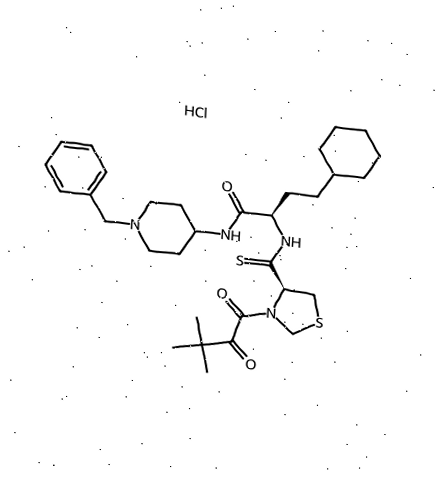 CC(C)(C)C(=O)C(=O)N1CSC[C@@H]1C(=S)N[C@H](CCC1CCCCC1)C(=O)NC1CCN(Cc2ccccc2)CC1.Cl